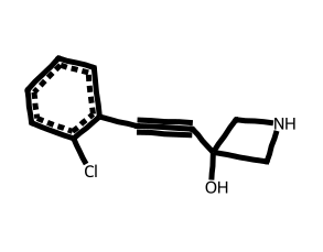 OC1(C#Cc2ccccc2Cl)CNC1